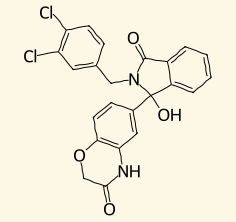 O=C1COc2ccc(C3(O)c4ccccc4C(=O)N3Cc3ccc(Cl)c(Cl)c3)cc2N1